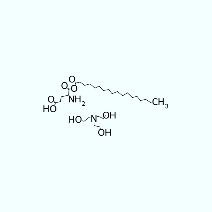 CCCCCCCCCCCCCCCCCC(=O)OC(=O)C(N)CCC(=O)O.OCCN(CCO)CCO